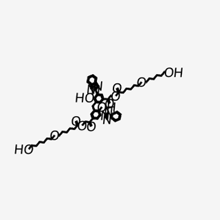 O=C(CCCCCOCCCCCCO)OCC(=O)c1cc(Cc2cc(C(=O)COC(=O)CCCCCOCCCCCCO)cc(-n3nc4ccccc4n3)c2O)c(O)c(-n2nc3ccccc3n2)c1